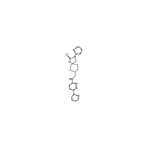 O=C1OC2(CCC(CNc3ccc(-c4ccccn4)nn3)CC2)CN1c1ccccn1